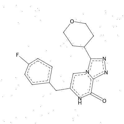 O=c1[nH]c(Cc2ccc(F)cc2)cn2c(C3CCOCC3)nnc12